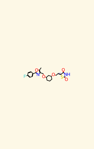 Cc1oc(-c2ccc(F)cc2)nc1COC1CCCC(OC/C=C2\SC(=O)NC2=O)C1